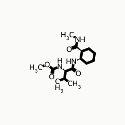 CNC(=O)[C@H]1CCCC[C@@H]1NC(=O)[C@@H](NC(=O)OC)C(C)C